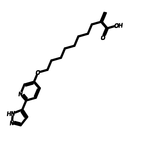 C=C(CCCCCCCCOc1ccc(-c2ccn[nH]2)nc1)C(=O)O